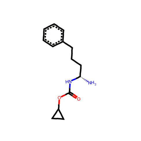 N[C@@H](CCCc1ccccc1)NC(=O)OC1CC1